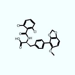 COc1ccc2c(c1-c1ccc(C[C@H](NC(=O)c3c(Cl)cccc3Cl)C(=O)O)cc1)OCO2